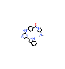 CN(C)[C@H]1CCN(C(=O)c2ccc(Nc3cncc(-c4cc5ccccc5[nH]4)n3)cc2)C1